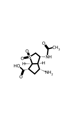 CC(=O)N[C@H]1CS(=O)(=O)[C@H]2[C@@H]1[C@H](N)C[C@@H]2C(=O)O